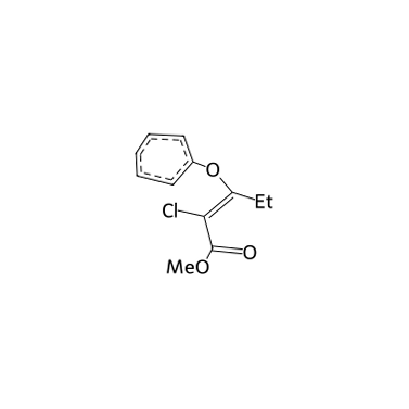 CCC(Oc1ccccc1)=C(Cl)C(=O)OC